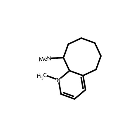 CNC1CCCCCC2=CC=CN(C)C21